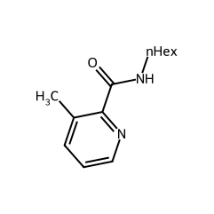 CCCCCCNC(=O)c1ncccc1C